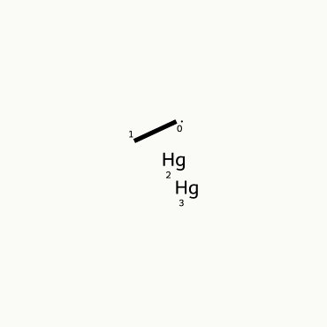 [CH2]C.[Hg].[Hg]